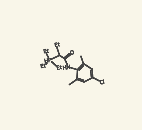 CCC(C(=O)Nc1c(C)cc(Cl)cc1C)[PH](CC)(CC)CC